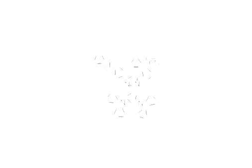 CC1(C)c2ccccc2-c2c(-c3cc(-c4ccc(-c5cc6ccccc6s5)cc4)nc(-c4cc(-n5c6ccccc6c6ccccc65)cc(-n5c6ccccc6c6ccccc65)c4)n3)cccc21